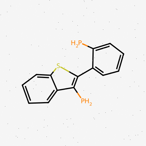 Pc1ccccc1-c1sc2ccccc2c1P